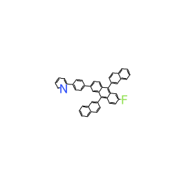 Fc1ccc2c(-c3ccc4ccccc4c3)c3cc(-c4ccc(-c5ccccn5)cc4)ccc3c(-c3ccc4ccccc4c3)c2c1